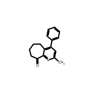 Cc1cc(-c2ccccc2)c2c(n1)C(=O)CCCC2